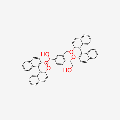 OCCOc1ccc2ccccc2c1-c1c(OCc2cccc(COc3ccc4ccccc4c3-c3c(OCCO)ccc4ccccc34)c2)ccc2ccccc12